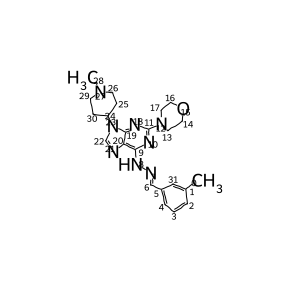 Cc1cccc(/C=N/Nc2nc(N3CCOCC3)nc3c2ncn3C2CCN(C)CC2)c1